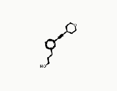 OCCCc1cccc(C#CC2CCOCC2)c1